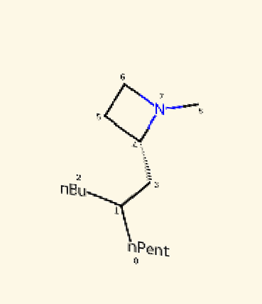 CCCCCC(CCCC)C[C@@H]1CCN1C